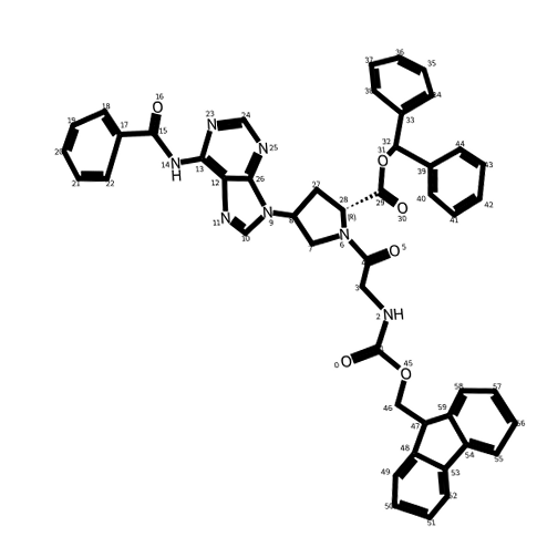 O=C(NCC(=O)N1CC(n2cnc3c(NC(=O)c4ccccc4)ncnc32)C[C@@H]1C(=O)OC(c1ccccc1)c1ccccc1)OCC1c2ccccc2-c2ccccc21